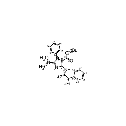 CCC(C(=O)Nc1nc(N(C)C)n(-c2ccccc2)c1C(=O)OC(C)(C)C)c1ccccc1